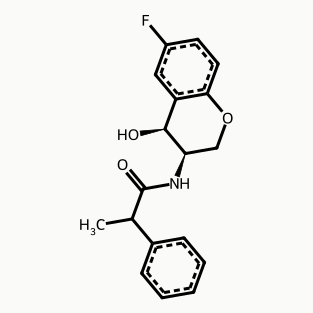 CC(C(=O)N[C@@H]1COc2ccc(F)cc2[C@@H]1O)c1ccccc1